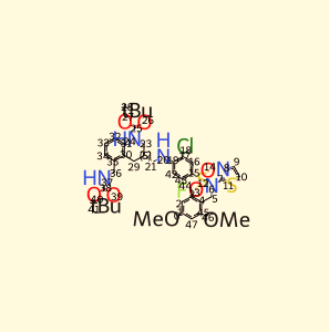 COc1ccc(CN(c2nccs2)S(=O)(=O)c2cc(Cl)c(NC[C@@H](CNC(=O)OC(C)(C)C)Cc3ccccc3CNC(=O)OC(C)(C)C)cc2F)c(OC)c1